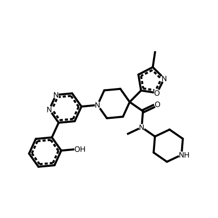 Cc1cc(C2(C(=O)N(C)C3CCNCC3)CCN(c3cnnc(-c4ccccc4O)c3)CC2)on1